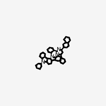 c1ccc(-c2cc(-c3ccc4ccccc4c3)nc(-c3ccccc3-n3c4ccccc4c4ccc5c(c6ccccc6n5-c5ccccc5)c43)n2)cc1